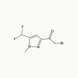 Cn1nc(C(=O)CBr)cc1C(F)F